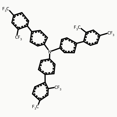 FC(F)(F)c1ccc(-c2ccc(N(c3ccc(-c4ccc(C(F)(F)F)cc4C(F)(F)F)cc3)c3ccc(-c4ccc(C(F)(F)F)cc4C(F)(F)F)cc3)cc2)c(C(F)(F)F)c1